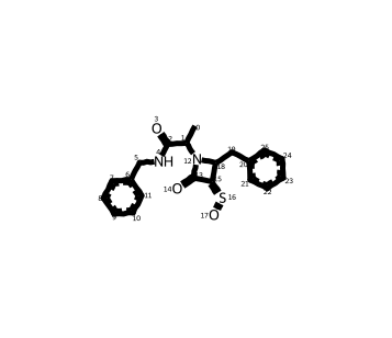 CC(C(=O)NCc1ccccc1)N1C(=O)C(=S=O)C1Cc1ccccc1